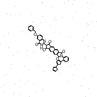 O=C1c2cc3cc4c(cc3cc2C(=O)C1c1nc2ccc(OCc3ccccc3)cc2c(=O)[nH]1)C(=O)N(c1ccccc1C1=CC=C(C2=CC=CC2)C1)C4=O